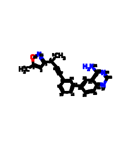 Cc1cc([C@@H](C)C#Cc2cccc(-c3ccc4ncnc(N)c4c3)c2)no1